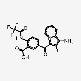 Cc1c(N)c2ccccn2c1C(=O)c1ccc(NC(=O)C(F)(F)F)c(C(=O)O)c1